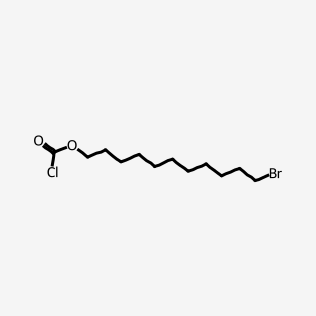 O=C(Cl)OCCCCCCCCCCCBr